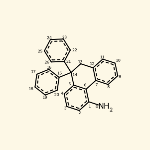 Nc1cccc2c1-c1ccccc1CC2(c1ccccc1)c1ccccc1